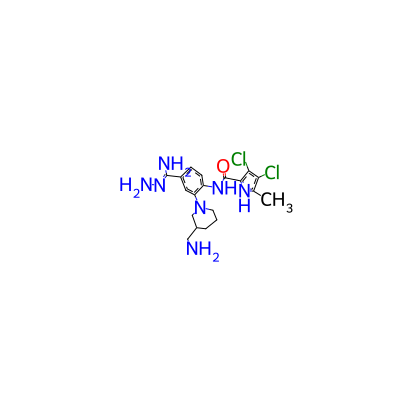 Cc1[nH]c(C(=O)Nc2ccc(/C(N)=N/N)cc2N2CCCC(CN)C2)c(Cl)c1Cl